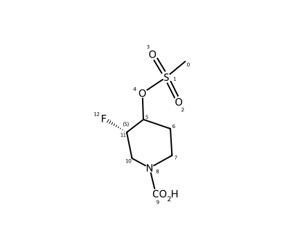 CS(=O)(=O)OC1CCN(C(=O)O)C[C@@H]1F